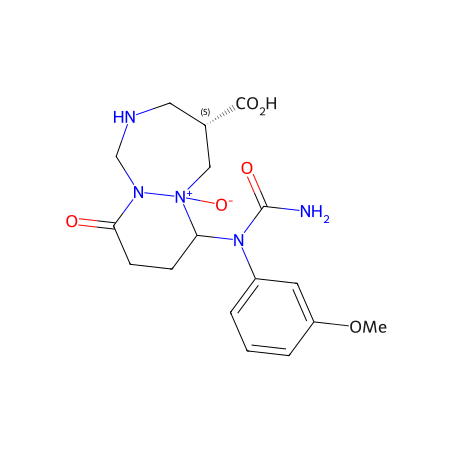 COc1cccc(N(C(N)=O)C2CCC(=O)N3CNC[C@H](C(=O)O)C[N+]23[O-])c1